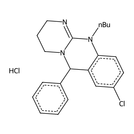 CCCCN1C2=NCCCN2C(c2ccccc2)c2cc(Cl)ccc21.Cl